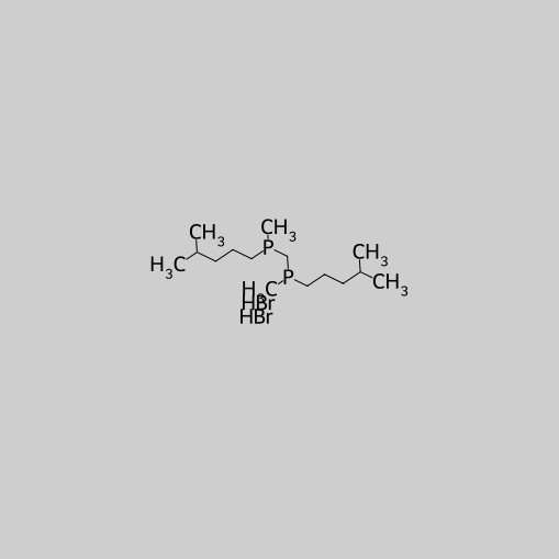 Br.Br.CC(C)CCCP(C)CP(C)CCCC(C)C